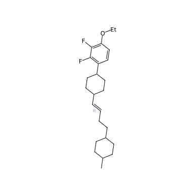 CCOc1ccc(C2CCC(/C=C/CCC3CCC(C)CC3)CC2)c(F)c1F